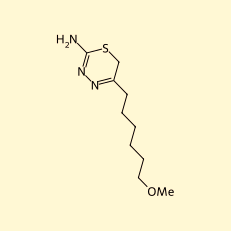 COCCCCCCC1=NN=C(N)SC1